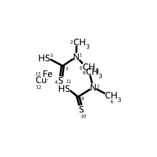 CN(C)C(=S)S.CN(C)C(=S)S.[Cu].[Fe]